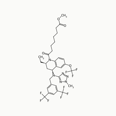 CC[C@@H]1C[C@H](N(Cc2cc(C(F)(F)F)cc(C(F)(F)F)c2)c2nnn(C)n2)c2cc(OC(F)(F)F)ccc2N1C(=O)CCCCCCC(=O)OC